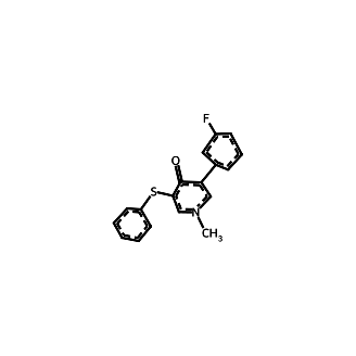 Cn1cc(Sc2ccccc2)c(=O)c(-c2cccc(F)c2)c1